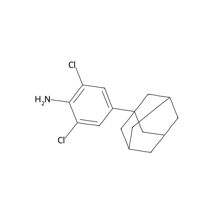 Nc1c(Cl)cc(C23CC4CC(CC(C4)C2)C3)cc1Cl